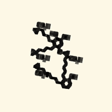 O=C(O)C1(CCCCCCc2cccc(O)c2CCCCCC2(C(=O)O)CC2Oc2cc(O)c(O)c(CCCCC3(C(=O)O)CC3)c2CCCCC2(C(=O)O)CC2)CC1